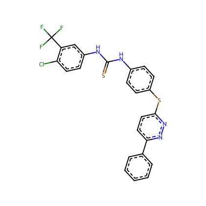 FC(F)(F)c1cc(NC(=S)Nc2ccc(Sc3ccc(-c4ccccc4)nn3)cc2)ccc1Cl